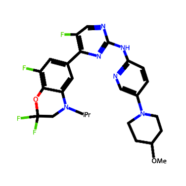 COC1CCN(c2ccc(Nc3ncc(F)c(-c4cc(F)c5c(c4)N(C(C)C)CC(F)(F)O5)n3)nc2)CC1